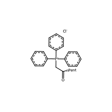 CCCCCC(=O)C[P+](c1ccccc1)(c1ccccc1)c1ccccc1.[Cl-]